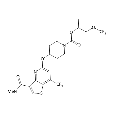 CNC(=O)c1csc2c(C(F)(F)F)cc(OC3CCN(C(=O)OC(C)COC(F)(F)F)CC3)nc12